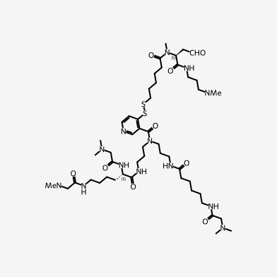 CNCCCNC(=O)[C@H](CC=O)N(C)C(=O)CCCCCSSc1ccncc1C(=O)N(CCCNC(=O)CCCCCNC(=O)CN(C)C)CCCNC(=O)[C@H](CCCCNC(=O)CNC)NC(=O)CN(C)C